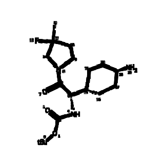 CC(C)(C)OC(=O)N[C@H](C(=O)N1CCC(F)(F)C1)[C@H]1CC[C@H](N)CC1